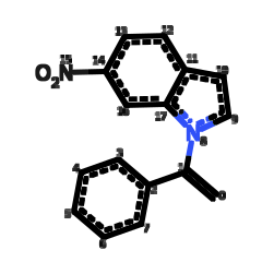 C=C(c1ccccc1)n1ccc2ccc([N+](=O)[O-])cc21